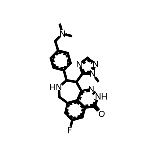 CN(C)Cc1ccc(C2NCc3cc(F)cc4c(=O)[nH]nc(c34)C2c2ncnn2C)cc1